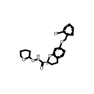 O=C(NOC1CCCCO1)[C@@H]1CCc2ccc(OCc3ccccc3Cl)cc2O1